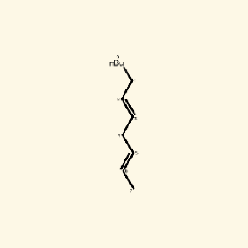 [CH2]CCCCC=CCC=CC